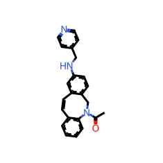 CC(=O)N1Cc2ccc(NCc3ccncc3)cc2C=Cc2ccccc21